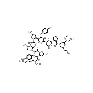 C[C@@H](O)[C@H](NC(=O)[C@@H]1C[C@@H](O)CN1C(=O)[C@H](Cc1ccc(O)cc1)NC(=O)[C@H](CO)NC(=O)[C@@H]1CCCN1C(=O)[C@H](CCCCN)NC(=O)[C@H](CO)NI)C(=O)N[C@@H](Cc1ccc(O)cc1)C(=O)N1C[C@H](O)C[C@H]1C(=O)N[C@@H](CCCCN)C(=O)O